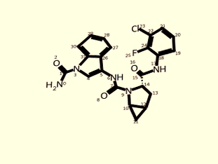 NC(=O)n1cc(NC(=O)N2C3CC3C[C@H]2C(=O)Nc2cccc(Cl)c2F)c2ccccc21